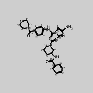 Nc1cn2c(Nc3ccc(C(=O)N4CCOCC4)cc3)nc(N3CCCC(NC(=O)c4ccccc4)C3)nc2n1